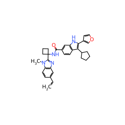 C=Cc1ccc2c(c1)nc(C1(NC(=O)c3ccc4c(C5CCCC5)c(-c5ccoc5)[nH]c4c3)CCC1)n2C